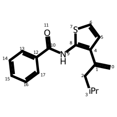 C=C(CC(C)C)c1ccsc1NC(=O)c1ccccc1